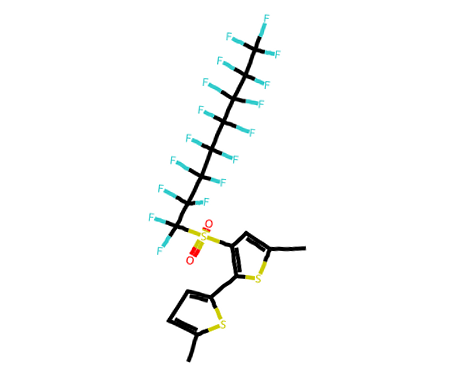 Cc1ccc(-c2sc(C)cc2S(=O)(=O)C(F)(F)C(F)(F)C(F)(F)C(F)(F)C(F)(F)C(F)(F)C(F)(F)C(F)(F)F)s1